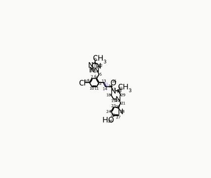 Cc1nnn(Cc2cc(Cl)ccc2/C=C/C(=O)N2CCN(Cc3ccc(O)cn3)C[C@H]2C)n1